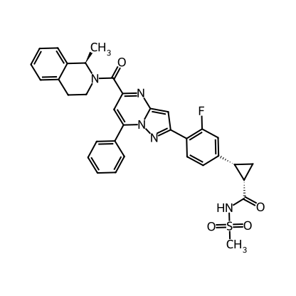 C[C@@H]1c2ccccc2CCN1C(=O)c1cc(-c2ccccc2)n2nc(-c3ccc([C@@H]4C[C@@H]4C(=O)NS(C)(=O)=O)cc3F)cc2n1